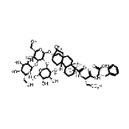 C=C1C[C@@]23CC[C@H]4[C@@](C)(CCC[C@@]4(C)C(=O)N[C@@H](CC(=O)O)C(=O)N[C@@H](Cc4ccccc4)C(=O)OC)[C@@H]2CC[C@]1(O[C@@H]1O[C@H](CO)[C@@H](O)[C@H](O[C@@H]2O[C@H](CO)[C@@H](O)[C@H](O)[C@H]2O)[C@H]1O[C@@H]1O[C@H](C)[C@@H](O)[C@H](O)[C@H]1O)C3